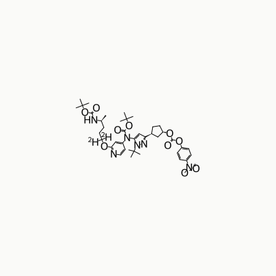 [2H]C([2H])(CC[C@H](C)NC(=O)OC(C)(C)C)Oc1cc(N(C(=O)OC(C)(C)C)c2cc([C@H]3CC[C@@H](OC(=O)Oc4ccc([N+](=O)[O-])cc4)C3)nn2C(C)(C)C)ccn1